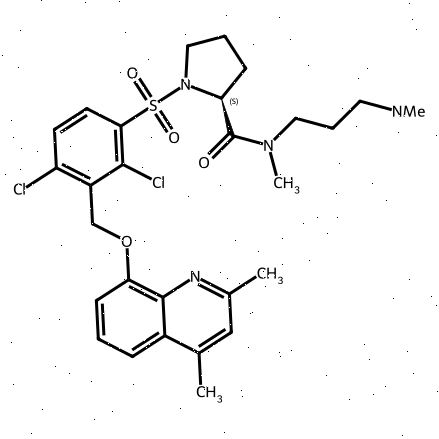 CNCCCN(C)C(=O)[C@@H]1CCCN1S(=O)(=O)c1ccc(Cl)c(COc2cccc3c(C)cc(C)nc23)c1Cl